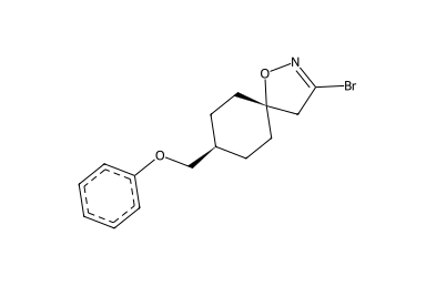 BrC1=NO[C@]2(CC[C@H](COc3ccccc3)CC2)C1